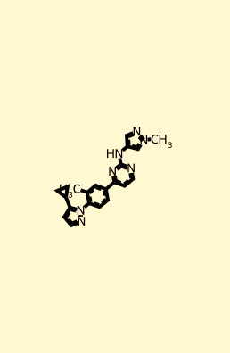 Cc1cc(-c2ccnc(Nc3cnn(C)c3)n2)ccc1-n1nccc1C1CC1